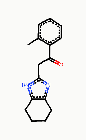 Cc1ccccc1C(=O)Cc1nc2c([nH]1)CCCC2